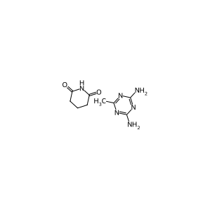 Cc1nc(N)nc(N)n1.O=C1CCCC(=O)N1